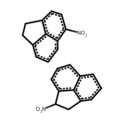 O=[N+]([O-])C1Cc2cccc3cccc1c23.O=[N+]([O-])c1ccc2c3c(cccc13)CC2